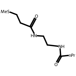 CCCC(=O)NCCNC(=O)CCSC